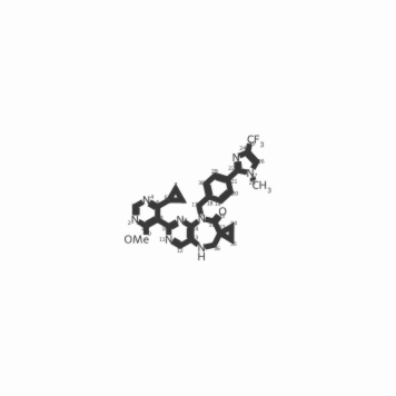 COc1ncnc(C2CC2)c1-c1ncc2c(n1)N(Cc1ccc(-c3nc(C(F)(F)F)cn3C)cc1)C(=O)C1(CC1)CN2